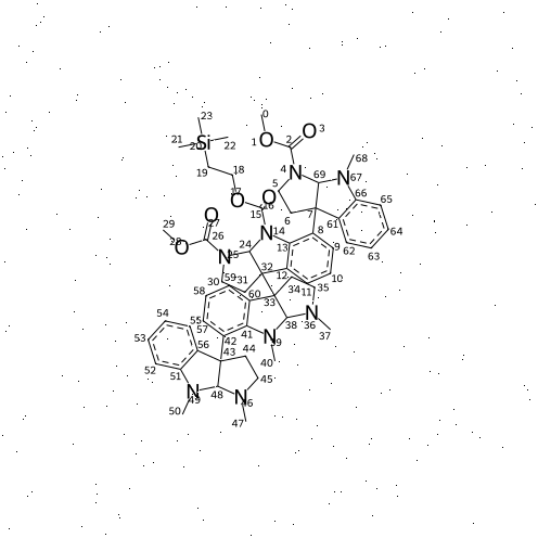 COC(=O)N1CCC2(c3cccc4c3N(C(=O)OCC[Si](C)(C)C)C3N(C(=O)OC)CCC43C34CCN(C)C3N(C)c3c(C56CCN(C)C5N(C)c5ccccc56)cccc34)c3ccccc3N(C)C12